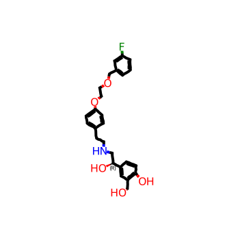 OCc1cc([C@@H](O)CNCCc2ccc(OCCOCc3cccc(F)c3)cc2)ccc1O